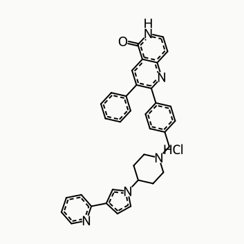 Cl.O=c1[nH]ccc2nc(-c3ccc(CN4CCC(n5ccc(-c6ccccn6)c5)CC4)cc3)c(-c3ccccc3)cc12